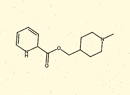 CN1CCC(COC(=O)C2C=CC=CN2)CC1